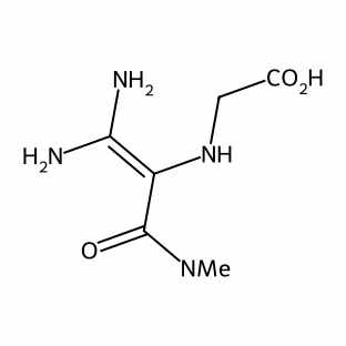 CNC(=O)C(NCC(=O)O)=C(N)N